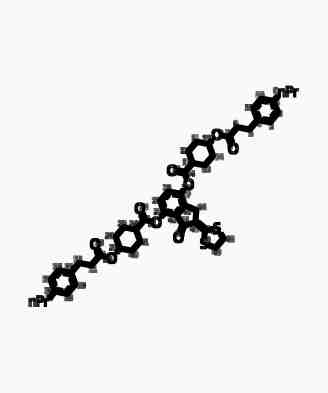 CCCc1ccc(CCC(=O)OC2CCC(C(=O)Oc3ccc(OC(=O)C4CCC(OC(=O)CCc5ccc(CCC)cc5)CC4)c4c3CC(=C3SCCS3)C4=O)CC2)cc1